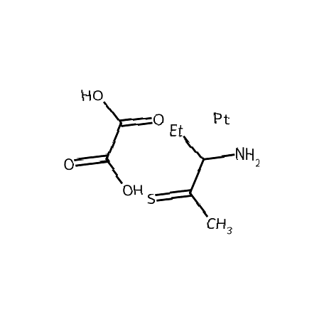 CCC(N)C(C)=S.O=C(O)C(=O)O.[Pt]